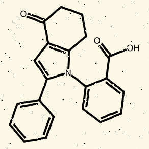 O=C(O)c1ccccc1-n1c(-c2ccccc2)cc2c1CCCC2=O